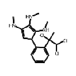 CNC1=CC(c2ccccc2C(C)([O])C(Cl)Cl)C(NC)=C1NC